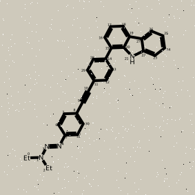 CCN(CC)N=Nc1ccc(C#Cc2ccc(-c3cccc4c3[nH]c3ccccc34)cc2)cc1